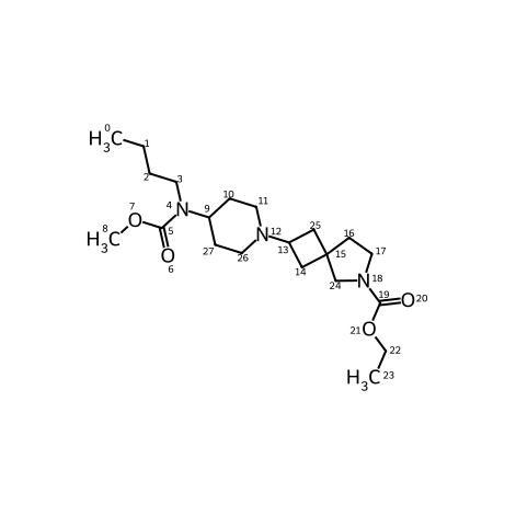 CCCCN(C(=O)OC)C1CCN(C2CC3(CCN(C(=O)OCC)C3)C2)CC1